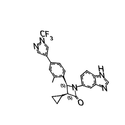 Cc1cc(-c2cnn(C(F)(F)F)c2)ccc1[C@@H]1[C@H](C2CC2)C(=O)N1c1ccc2[nH]cnc2c1